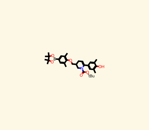 Cc1cc(C2=CCC(COc3c(C)cc(B4OC(C)(C)C(C)(C)O4)cc3C)CN2C(=O)OC(C)(C)C)cc(C)c1O